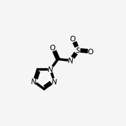 O=C(N=S(=O)=O)n1cncn1